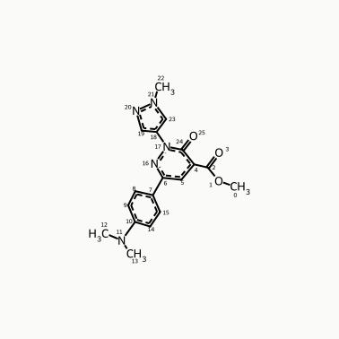 COC(=O)c1cc(-c2ccc(N(C)C)cc2)nn(-c2cnn(C)c2)c1=O